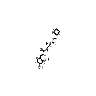 O=C(/C=C/c1ccccn1)NCCNC(=O)/C=C/c1ccc(O)cc1O